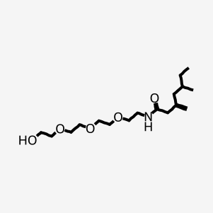 C=C(CC(=O)NCCOCCOCCOCCO)CC(C)CC